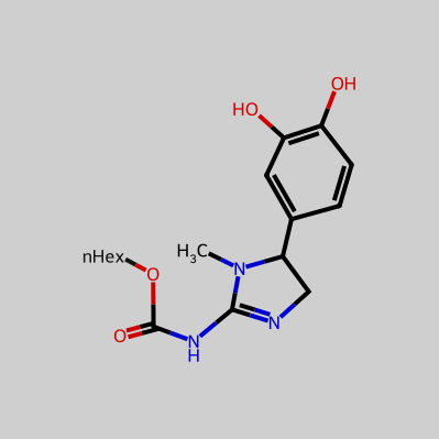 CCCCCCOC(=O)NC1=NCC(c2ccc(O)c(O)c2)N1C